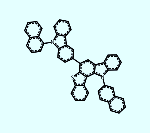 c1ccc2cc(-n3c4ccccc4c4cc(-c5ccc6c(c5)c5ccccc5n6-c5cccc6ccccc56)c5sc6ccccc6c5c43)ccc2c1